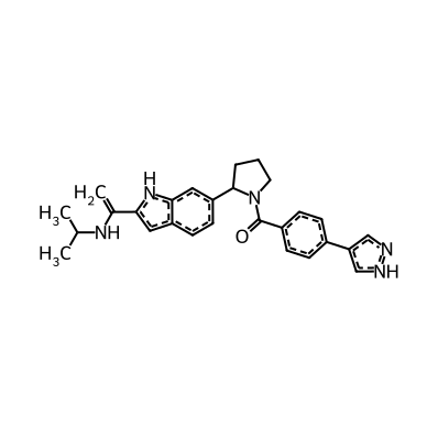 C=C(NC(C)C)c1cc2ccc(C3CCCN3C(=O)c3ccc(-c4cn[nH]c4)cc3)cc2[nH]1